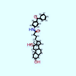 C[C@]12CC[C@@H](O)CC1CCC1C2C[C@H](O)[C@@]2(C)C1CC[C@@H]2CCCC(=O)Nc1ccc(C(=O)c2ccccc2)cc1